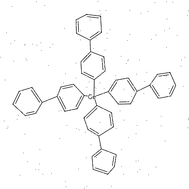 c1ccc(-c2cc[c]([Ge]([c]3ccc(-c4ccccc4)cc3)([c]3ccc(-c4ccccc4)cc3)[c]3ccc(-c4ccccc4)cc3)cc2)cc1